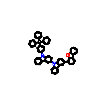 c1ccc([Si](c2ccccc2)(c2ccccc2)c2ccc(-n3c4ccccc4c4cc(-n5c6ccccc6c6cc(-c7cccc8c7oc7ccccc78)ccc65)ccc43)cc2)cc1